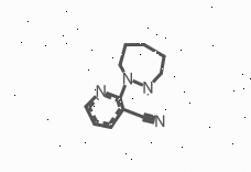 N#Cc1cccnc1N1CCCCC[N]1